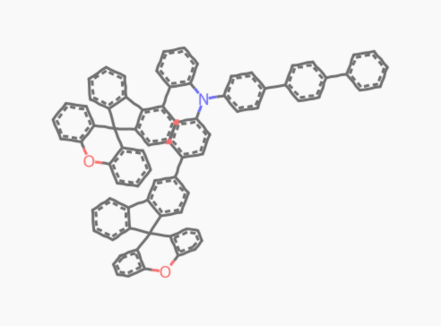 c1ccc(-c2ccc(-c3ccc(N(c4ccc(-c5ccc6c(c5)-c5ccccc5C65c6ccccc6Oc6ccccc65)cc4)c4ccccc4-c4cccc5c4-c4ccccc4C54c5ccccc5Oc5ccccc54)cc3)cc2)cc1